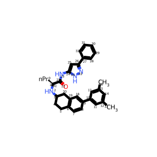 CCC[C@H](NC1CCc2ccc(-c3cc(C)cc(C)c3)cc2C1)C(=O)Nc1cc(-c2ccccc2)n[nH]1